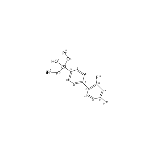 CC(C)O[Si](O)(OC(C)C)c1ccc(-c2ccc(F)cc2F)cc1